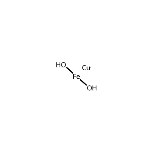 [Cu].[OH][Fe][OH]